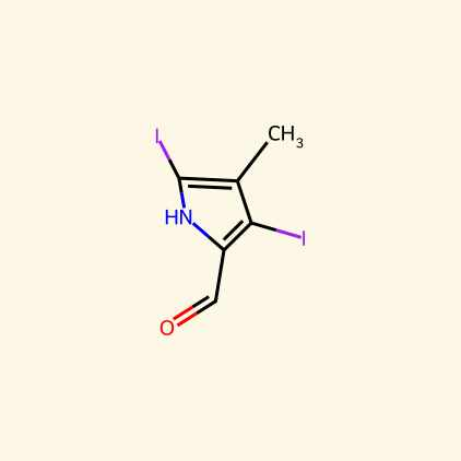 Cc1c(I)[nH]c(C=O)c1I